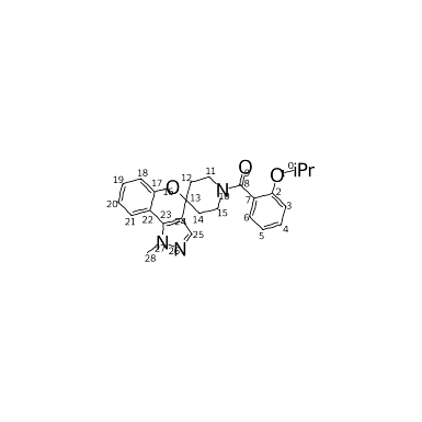 CC(C)Oc1ccccc1C(=O)N1CCC2(CC1)Oc1ccccc1-c1c2cnn1C